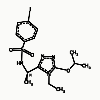 CCn1c(OC(C)C)nnc1[C@@H](C)NS(=O)(=O)c1ccc(I)cc1